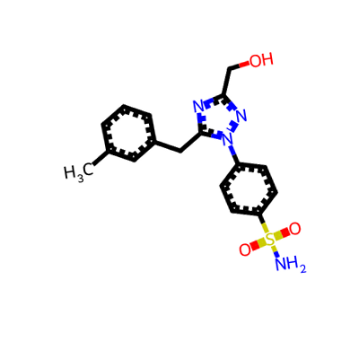 Cc1cccc(Cc2nc(CO)nn2-c2ccc(S(N)(=O)=O)cc2)c1